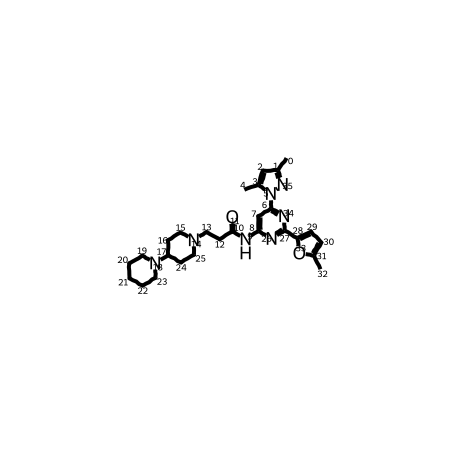 Cc1cc(C)n(-c2cc(NC(=O)CCN3CCC(N4CCCCC4)CC3)nc(-c3ccc(C)o3)n2)n1